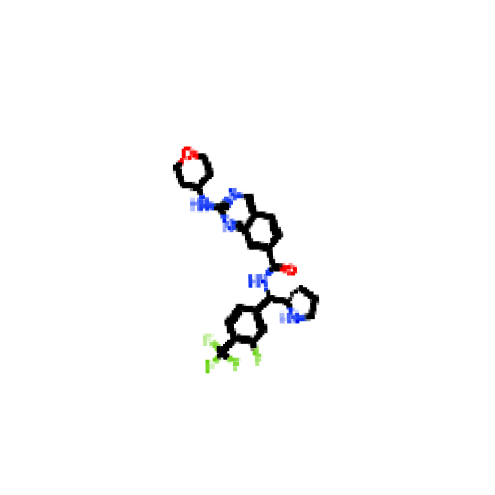 O=C(N[C@@H](c1ccc(C(F)(F)F)c(F)c1)[C@@H]1CCCN1)c1ccc2cnc(NC3CCOCC3)nc2c1